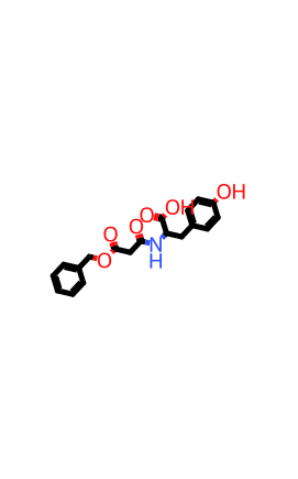 O=C(CC(=O)OCc1ccccc1)NC(Cc1ccc(O)cc1)C(=O)O